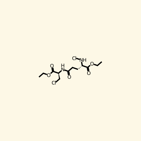 CCOC(=O)[C@H](CCC(=O)N[C@@H](CCl)C(=O)OCC)NCl